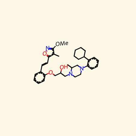 COc1noc(C=Cc2ccccc2OCC(O)CN2CCN(c3ccccc3C3CCCCC3)CC2C)c1C